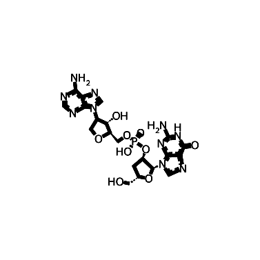 Nc1nc2c(ncn2[C@@H]2O[C@H](CO)C[C@H]2OP(=O)(O)OC[C@H]2OCC(n3cnc4c(N)ncnc43)[C@@H]2O)c(=O)[nH]1